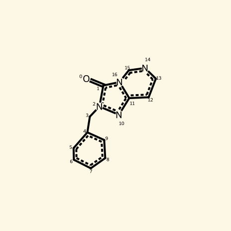 O=c1n(Cc2ccccc2)nc2ccncn12